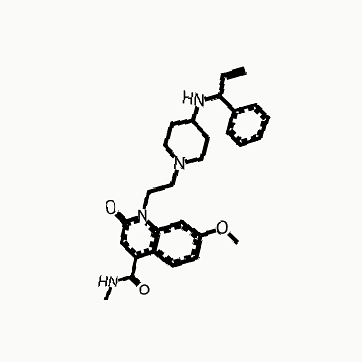 C=CC(NC1CCN(CCn2c(=O)cc(C(=O)NC)c3ccc(OC)cc32)CC1)c1ccccc1